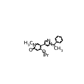 CC(C)Oc1cc(=O)n(C)cc1-c1cnn([C@@H](C)c2ccccc2)c1